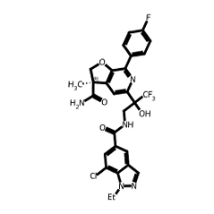 CCn1ncc2cc(C(=O)NCC(O)(c3cc4c(c(-c5ccc(F)cc5)n3)OC[C@]4(C)C(N)=O)C(F)(F)F)cc(Cl)c21